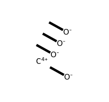 C[O-].C[O-].C[O-].C[O-].[C+4]